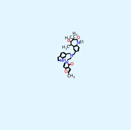 CCN1C(=O)C(C)(C)C(=O)C(C)c2cc(CN(CCn3ccc4oc(C)cc4c3=O)Cc3ccc4cc[nH]c4c3)ccc21